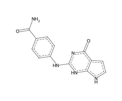 NC(=O)c1ccc(Nc2nc(=O)c3cc[nH]c3[nH]2)cc1